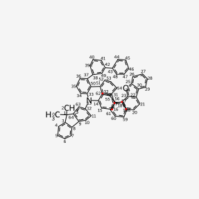 CC1(C)c2ccccc2-c2ccc(N(c3ccc(-c4cccc5c4oc4ccccc45)cc3)c3cccc(-c4cccc(-c5ccccc5)c4)c3-c3cccc(-c4ccccc4)c3)cc21